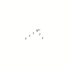 [I-].[I-].[I-].[I-].[I-].[V+5]